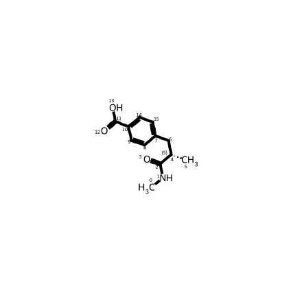 CNC(=O)[C@@H](C)Cc1ccc(C(=O)O)cc1